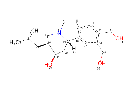 CC(C)C[C@H]1CN2CCc3cc(CO)c(CO)cc3[C@@H]2C[C@H]1O